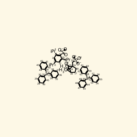 CC(C)c1cc(C(C)C)c(S(=O)(=O)[O-])c(C(C)C)c1.CC1(C)C2CCC1(CS(=O)(=O)[O-])C(=O)C2.c1ccc([S+](c2ccccc2)c2ccccc2)cc1.c1ccc([S+](c2ccccc2)c2ccccc2)cc1